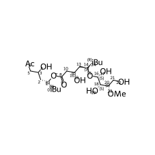 CC[C@@H](C)[C@H](CC(O)CC(C)=O)OC(=O)C[C@@H](O)C[C@H](O[C@H](O)[C@@H](O)[C@H](CO)OC)[C@H](C)CC